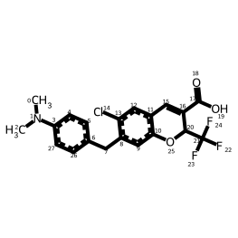 CN(C)c1ccc(Cc2cc3c(cc2Cl)C=C(C(=O)O)C(C(F)(F)F)O3)cc1